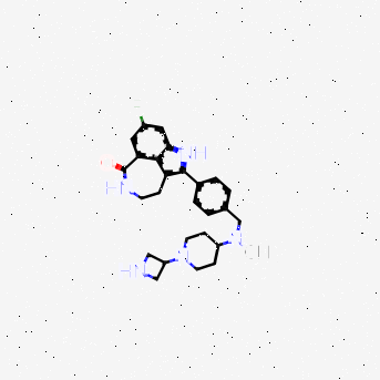 CN(Cc1ccc(-c2[nH]c3cc(F)cc4c3c2CCNC4=O)cc1)C1CCN(C2CNC2)CC1